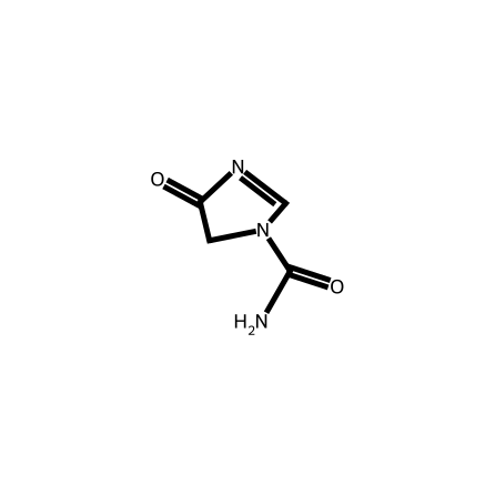 NC(=O)N1C=NC(=O)C1